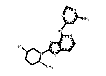 C[C@H]1CC[C@@H](C#N)CN1c1nc2ccnc(Nc3cc(N)ncn3)c2s1